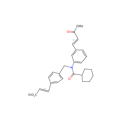 CCOC(=O)/C=C/c1ccc(CN(C(=O)C2CCCCC2)c2cccc(/C=C/C(=O)OC)c2)cc1